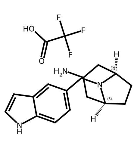 NC1C[C@H]2CC[C@@H](C1)N2Cc1ccc2[nH]ccc2c1.O=C(O)C(F)(F)F